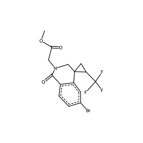 COC(=O)CN1CC2(CC2C(F)(F)F)c2cc(Br)ccc2C1=O